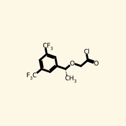 C[C@@H](OCC(=O)Cl)c1cc(C(F)(F)F)cc(C(F)(F)F)c1